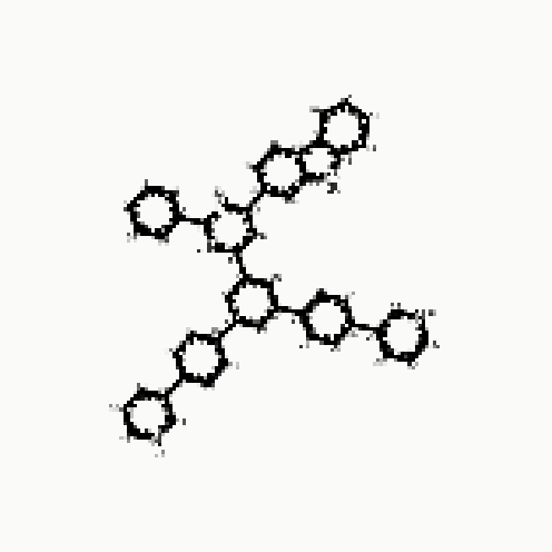 c1ccc(-c2nc(-c3cc(-c4ccc(-c5cccnc5)cc4)cc(-c4ccc(-c5cccnc5)cc4)c3)cc(-c3ccc4c(c3)oc3ccccc34)n2)cc1